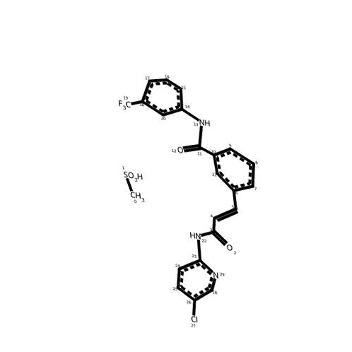 CS(=O)(=O)O.O=C(C=Cc1cccc(C(=O)Nc2cccc(C(F)(F)F)c2)c1)Nc1ccc(Cl)cn1